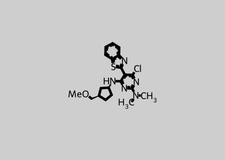 COC[C@@H]1CC[C@H](Nc2nc(N(C)C)nc(Cl)c2-c2nc3ccccc3s2)C1